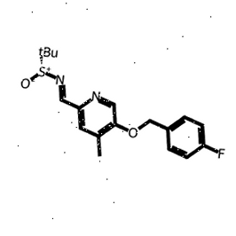 Cc1cc(/C=N/[S@+]([O-])C(C)(C)C)ncc1OCc1ccc(F)cc1